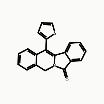 O=C1c2ccccc2C2=C(c3cccs3)c3ccccc3CN12